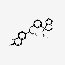 CCC(OC)(c1cccc(OC(C)c2ccc3[nH]c(=O)ccc3c2)c1)c1nccs1